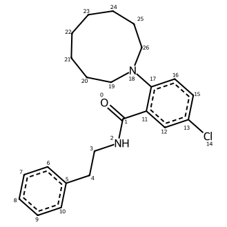 O=C(NCCc1ccccc1)c1cc(Cl)ccc1N1CCCCCCCC1